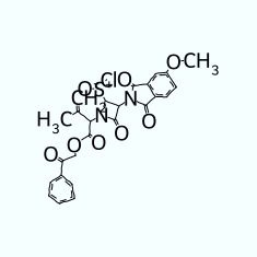 C=C(C)C(C(=O)OCC(=O)c1ccccc1)N1C(=O)C(N2C(=O)c3ccc(OC)cc3C2=O)C1[S+]([O-])Cl